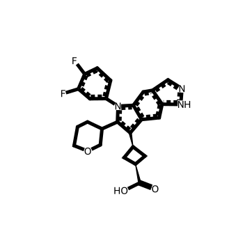 O=C(O)[C@H]1C[C@@H](c2c(C3CCCOC3)n(-c3ccc(F)c(F)c3)c3cc4cn[nH]c4cc32)C1